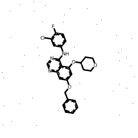 Fc1ccc(Nc2ncnc3cc(OCc4ccccc4)cc(OC4CCOCC4)c23)cc1Cl